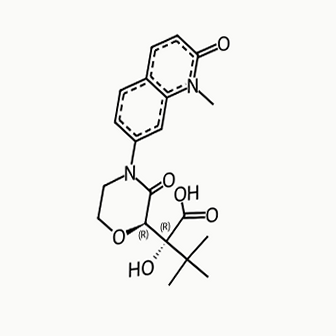 Cn1c(=O)ccc2ccc(N3CCO[C@H]([C@@](O)(C(=O)O)C(C)(C)C)C3=O)cc21